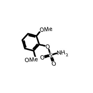 COc1cccc(OC)c1OS(N)(=O)=O